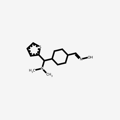 CN(C)C(c1cccs1)C1CCC(C=NO)CC1